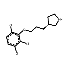 Clc1ccc(Cl)c(OCCC[C@H]2CCNC2)c1Cl